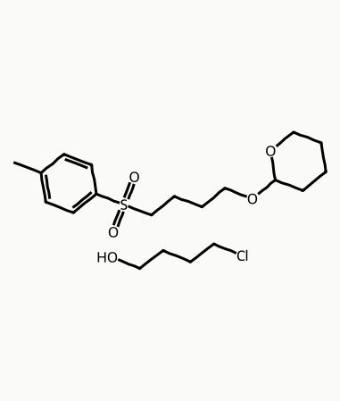 Cc1ccc(S(=O)(=O)CCCCOC2CCCCO2)cc1.OCCCCCl